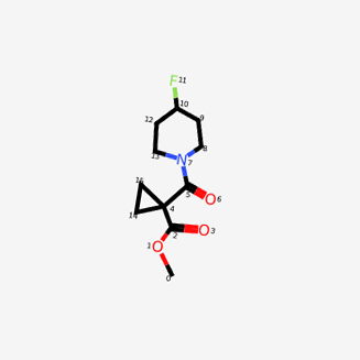 COC(=O)C1(C(=O)N2CCC(F)CC2)CC1